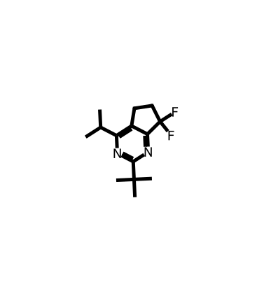 CC(C)c1nc(C(C)(C)C)nc2c1CCC2(F)F